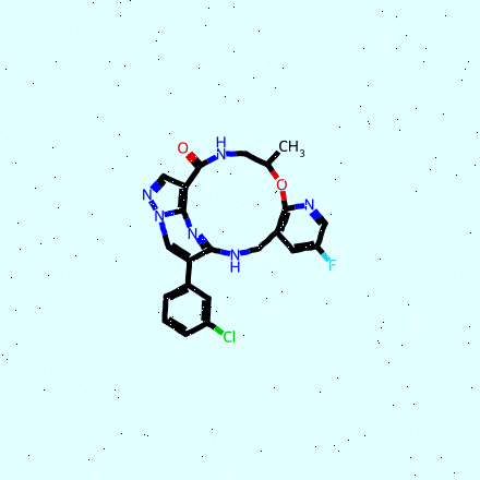 CC1CNC(=O)c2cnn3cc(-c4cccc(Cl)c4)c(nc23)NCc2cc(F)cnc2O1